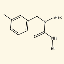 CCCCCCN(Cc1cccc(C)c1)C(=O)NCC